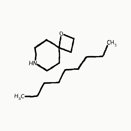 C1CC2(CCN1)CCO2.CCCCCCCCC